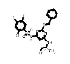 C[C@H](CO)Nc1cc(NS(=O)(=O)c2cc(F)c(F)cc2Cl)nc(SCc2ccccc2)n1